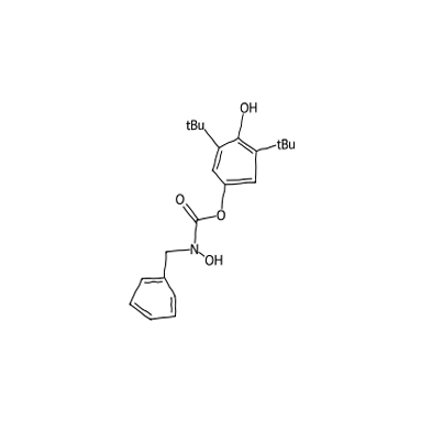 CC(C)(C)c1cc(OC(=O)N(O)Cc2ccccc2)cc(C(C)(C)C)c1O